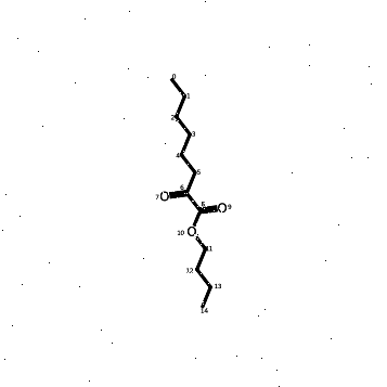 CCCCCCC(=O)C(=O)OCCCC